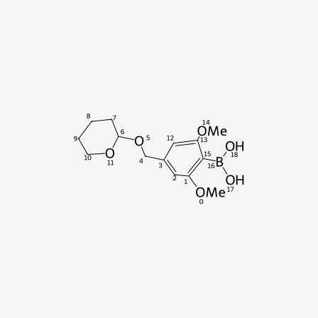 COc1cc(COC2CCCCO2)cc(OC)c1B(O)O